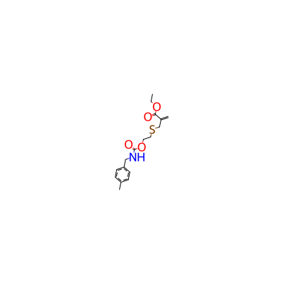 C=C(CSCCOC(=O)NCc1ccc(C)cc1)C(=O)OCC